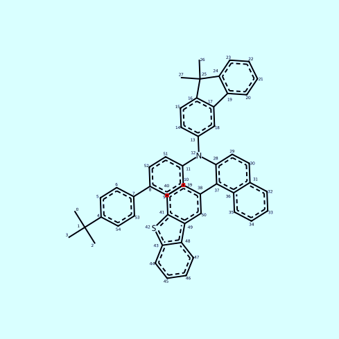 CC(C)(C)c1ccc(-c2ccc(N(c3ccc4c(c3)-c3ccccc3C4(C)C)c3ccc4ccccc4c3-c3ccc4sc5ccccc5c4c3)cc2)cc1